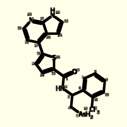 O=C(NC(C[AsH2])c1ccccc1C(F)(F)F)c1ccc(-c2ccnc3[nH]ccc23)s1